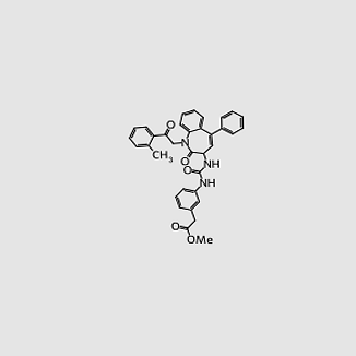 COC(=O)Cc1cccc(NC(=O)NC2C=C(c3ccccc3)c3ccccc3N(CC(=O)c3ccccc3C)C2=O)c1